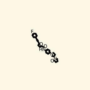 O=C(Nc1ccc(N2CCC(N3CCCC3=O)C2)cc1)c1ccc(C#Cc2ccc(F)cc2)o1